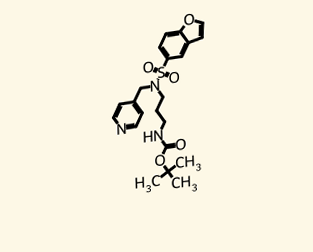 CC(C)(C)OC(=O)NCCCN(Cc1ccncc1)S(=O)(=O)c1ccc2occc2c1